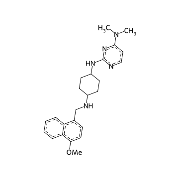 COc1ccc(CNC2CCC(Nc3nccc(N(C)C)n3)CC2)c2ccccc12